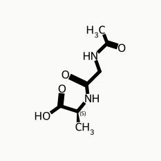 CC(=O)NCC(=O)N[C@@H](C)C(=O)O